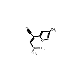 Cc1cc(/C(C#N)=C\N(C)C)on1